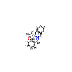 N#CC1(N(Cc2ccccc2)Cc2ccccc2)CCOC1